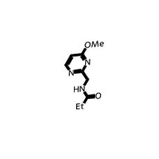 CCC(=O)NCc1nccc(OC)n1